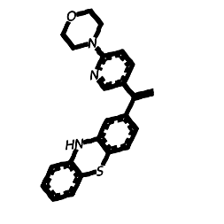 C=C(c1ccc(N2CCOCC2)nc1)c1ccc2c(c1)Nc1ccccc1S2